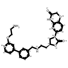 NCCOc1cc(-c2cccc(CNCC[C@H]3CN(c4ccc5c(n4)NC(=O)CO5)C(=O)O3)c2)ccn1